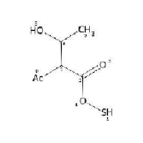 CC(=O)C(C(=O)OS)C(C)O